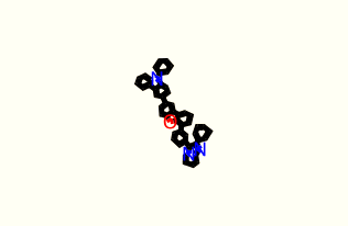 c1ccc(-c2nc3ccccn3c2-c2cccc(-c3cccc4c3oc3ccc(-c5ccc6c(c5)c5ccccc5n6-c5ccccc5)cc34)c2)cc1